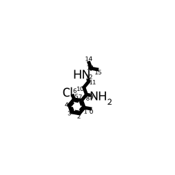 Cc1cccc(Cl)c1C(N)CCNC(C)C